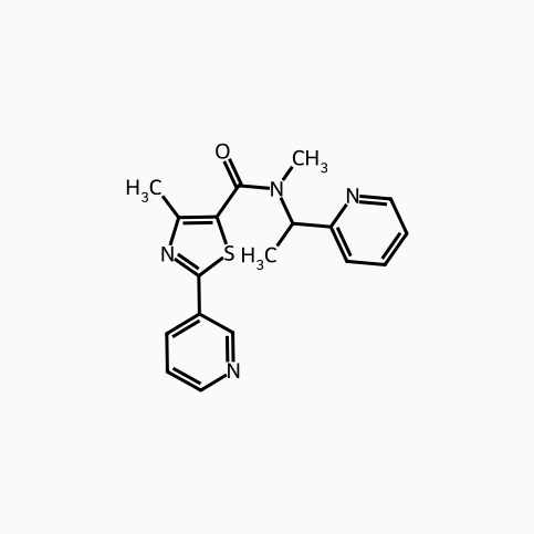 Cc1nc(-c2cccnc2)sc1C(=O)N(C)C(C)c1ccccn1